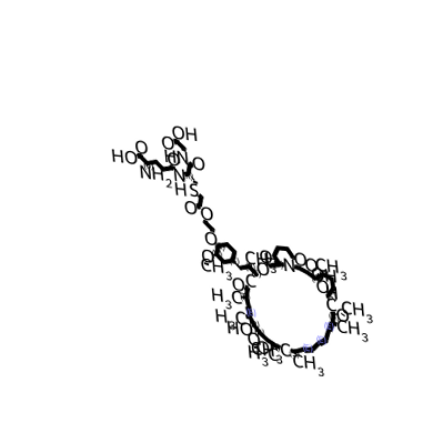 CO[C@H]1C[C@@H]2CC[C@@H](C)[C@@](O)(O2)C(=O)C(=O)N2CCCC[C@H]2C(=O)O[C@H]([C@H](C)C[C@@H]2CC[C@@H](OCCOC(=O)CSC[C@H](NC(=O)CC[C@H](N)C(=O)O)C(=O)NCC(=O)O)[C@H](OC)C2)CC(=O)[C@H](C)/C=C(\C)[C@@H](O)[C@@H](OC)C(=O)[C@H](C)C[C@H](C)/C=C/C=C/C=C/1C